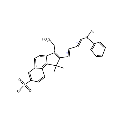 CC(=O)N(/C=C/C=C/C1=[N+](CS(=O)(=O)O)c2ccc3cc(S(=O)(=O)[O-])ccc3c2C1(C)C)c1ccccc1